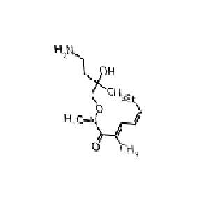 CC/C=C\C=C(/C)C(=O)N(C)OCC(C)(O)CCN